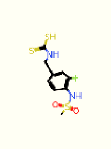 CS(=O)(=O)Nc1ccc(CNC(=S)S)cc1F